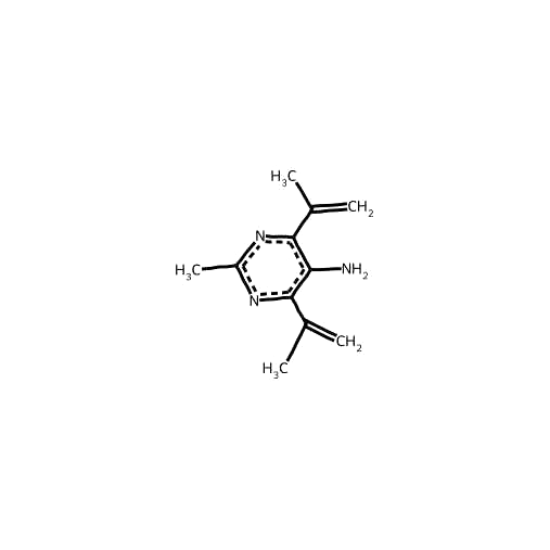 C=C(C)c1nc(C)nc(C(=C)C)c1N